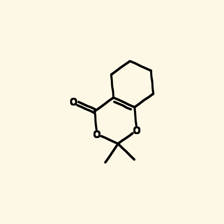 CC1(C)OC(=O)C2=C(CCCC2)O1